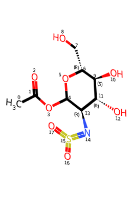 CC(=O)OC1O[C@H](CO)[C@@H](O)[C@H](O)[C@H]1N=S(=O)=O